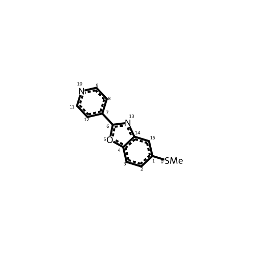 CSc1ccc2oc(-c3ccncc3)nc2c1